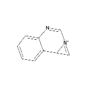 C1=Nc2ccccc2C2C=[N+]12